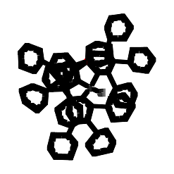 Cl[Si](c1c(-c2ccccc2)cc(-c2ccccc2)c(-c2ccccc2)c1-c1ccccc1)(c1c(-c2ccccc2)cc(-c2ccccc2)c(-c2ccccc2)c1-c1ccccc1)c1c(-c2ccccc2)cc(-c2ccccc2)c(-c2ccccc2)c1-c1ccccc1